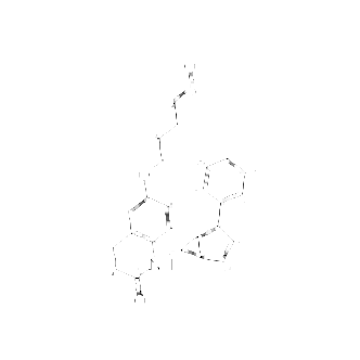 O=S=CCCCOc1ccc2c(c1)CCC(=O)N2.c1ccc(-c2ccc3cc2-3)cc1